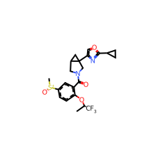 CC(Oc1ccc([S+](C)[O-])cc1C(=O)N1CC2CC2(c2coc(C3CC3)n2)C1)C(F)(F)F